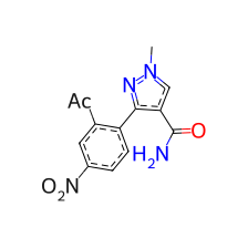 CC(=O)c1cc([N+](=O)[O-])ccc1-c1nn(C)cc1C(N)=O